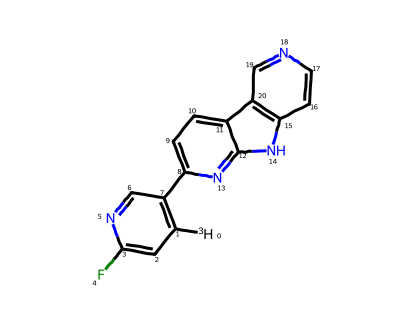 [3H]c1cc(F)ncc1-c1ccc2c(n1)[nH]c1ccncc12